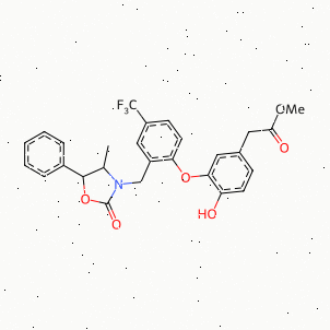 COC(=O)Cc1ccc(O)c(Oc2ccc(C(F)(F)F)cc2CN2C(=O)OC(c3ccccc3)C2C)c1